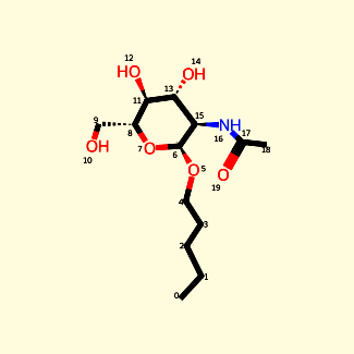 CCCCCO[C@H]1O[C@H](CO)[C@@H](O)[C@H](O)[C@H]1NC(C)=O